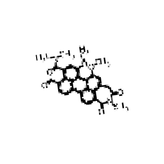 COc1cc(C(=O)N(C)C)c2c(C=O)ccc3c4ccc5c6c(cc(OC)c(c1c23)c64)CC(=O)N(C)C5=O